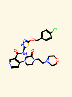 O=C(Nc1nnc(OCc2ccc(Cl)cc2)s1)c1cnccc1N1CCN(CCN2CCOCC2)C(=O)C1